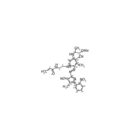 C=CC(=O)NCCNc1nc(NC(C)COC)c(C#N)c(C)c1N=Nc1nn(-c2ccccc2[N+](=O)[O-])c(C)c1C#N